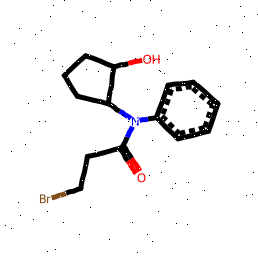 O=C(CCBr)N(c1ccccc1)C1CCCC1O